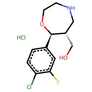 Cl.OC[C@H]1CNCCO[C@@H]1c1ccc(Cl)c(F)c1